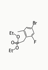 CCOP(=O)(Cc1c(C)cc(Br)cc1F)OCC